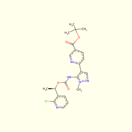 C[C@@H](OC(=O)Nc1c(-c2ccc(C(=O)OC(C)(C)C)cn2)cnn1C)c1cccnc1Cl